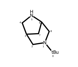 CC(C)(C)N1CC2CNC(C2)C1